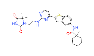 CC1(C(=O)Nc2ccc3sc(-c4ccnc(NCCN5C(=O)NC(=O)C5(C)C)n4)cc3c2)CCCCC1